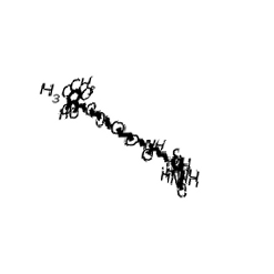 CC1(C)CC(=O)C(C(O)CCOCCOCCOCCOCCNC(=O)CCCC[C@@H]2SC[C@@H]3NC(=O)N[C@@H]32)C(=O)C1